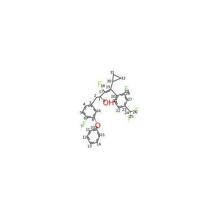 OC(Cc1ccc(F)c(Oc2ccccc2)c1)C(F)=C(c1ccc(C(F)F)cc1F)C1CC1